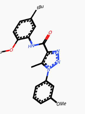 CCCCOc1ccc(C(C)(C)C)cc1NC(=O)c1nnn(-c2cccc(OC)c2)c1C